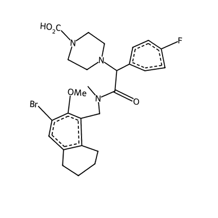 COc1c(Br)cc2c(c1CN(C)C(=O)C(c1ccc(F)cc1)N1CCN(C(=O)O)CC1)CCCC2